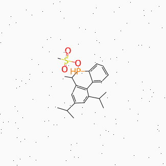 CC(C)c1cc(C(C)C)c(-c2ccccc2POS(C)(=O)=O)c(C(C)C)c1